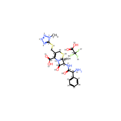 Cn1nnnc1SCC1=C(C(=O)O)N2C(=O)C(NC(=O)C(N)c3ccccc3)[C@H]2SC1.O=C(O)C(F)(F)F